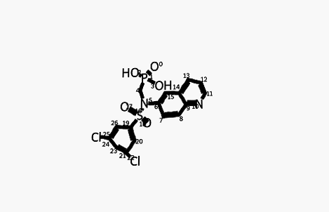 O=P(O)(O)CN(c1ccc2ncccc2c1)S(=O)(=O)c1cc(Cl)cc(Cl)c1